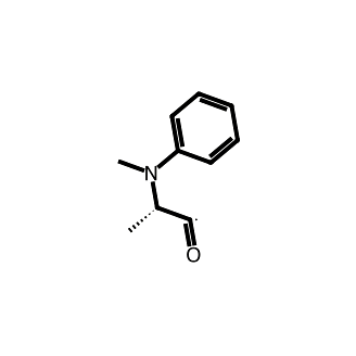 C[C@@H]([C]=O)N(C)c1ccccc1